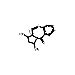 CC1CC(C)N2C(=O)c3ccccc3N=C[C@H]12